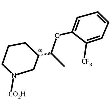 CC(Oc1ccccc1C(F)(F)F)[C@H]1CCCN(C(=O)O)C1